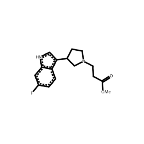 COC(=O)CCN1CCC(c2c[nH]c3cc(F)ccc23)C1